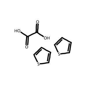 O=C(O)C(=O)O.c1ccsc1.c1ccsc1